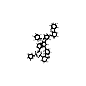 c1ccc(-c2nc(-c3ccccc3)nc(-c3cccc4sc5ccc(-c6ccc7c(c6)c6cc(-c8cccc9c8sc8ccccc89)ccc6n7-c6ccccc6)cc5c34)n2)cc1